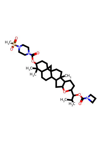 CC(C)C(OC(=O)N1CCC1)C1CCC2C(CC3C4CCC5C(C)(C)C(OC(=O)N6CCN(S(C)(=O)=O)CC6)CCC56CC46CCC23C)O1